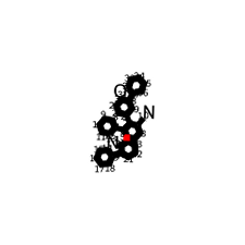 N#Cc1cccc(-c2ccccc2-n2c3ccccc3c3ccccc32)c1-c1ccc2oc3ccccc3c2c1